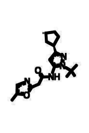 Cc1cnc(CC(=O)Nc2cc([C@H]3C[CH]CC3)nn2C(C)(C)C)o1